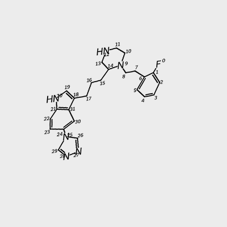 Fc1ccccc1CCN1CCNCC1CCCc1c[nH]c2ccc(-n3cnnc3)cc12